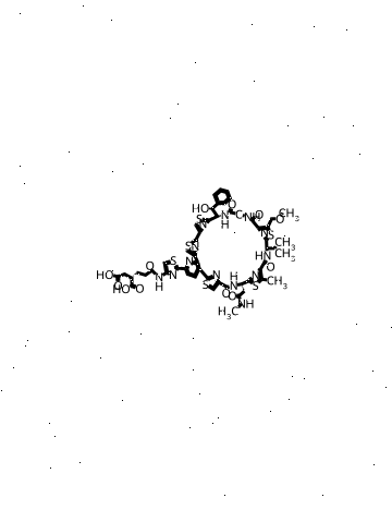 CNC(=O)C[C@@H]1NC(=O)c2csc(n2)-c2ccc(-c3nc(NC(=O)CC[C@@H](CC(=O)O)C(=O)O)cs3)nc2-c2csc(n2)-c2csc(n2)[C@H]([C@@H](O)c2ccccc2)NC(=O)CNC(=O)c2nc(sc2COC)C(C(C)C)NC(=O)c2nc1sc2C